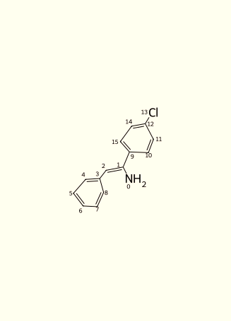 NC(=Cc1ccccc1)c1ccc(Cl)cc1